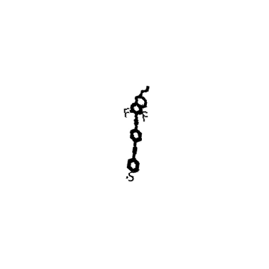 CCCC1CCc2c(cc(F)c(C#Cc3ccc(C#Cc4ccc(SC)cc4)cc3)c2F)C1